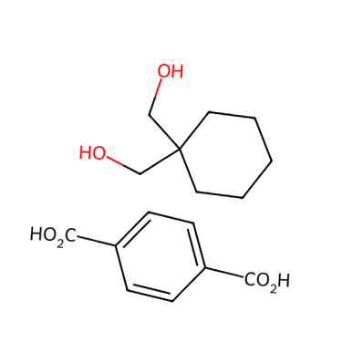 O=C(O)c1ccc(C(=O)O)cc1.OCC1(CO)CCCCC1